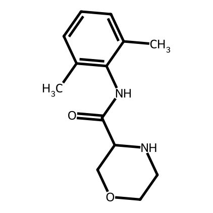 Cc1cccc(C)c1NC(=O)C1COCCN1